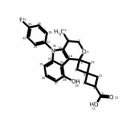 CC1COC2(CC3(CC(C(=O)O)C3)C2)c2c1n(-c1ccc(F)cc1)c1cccc(O)c21